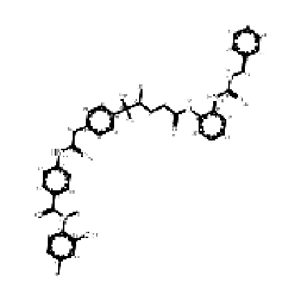 Cc1ccc(N(C)C(=O)c2ccc(NC(=O)Cc3ccc(C(F)(F)C(C)CCC(=O)Oc4ccccc4NC(=O)OCc4ccccc4)cc3)cc2)c(Cl)c1